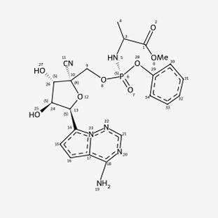 COC(=O)C(C)N[P@](=O)(OC[C@@]1(C#N)O[C@@H](c2ccc3c(N)ncnn23)[C@@H](O)[C@@H]1O)Oc1ccccc1